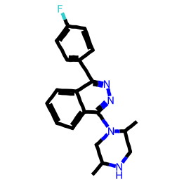 CC1CN(c2nnc(-c3ccc(F)cc3)c3ccccc23)C(C)CN1